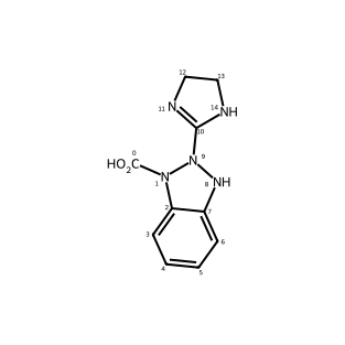 O=C(O)N1c2ccccc2NN1C1=NCCN1